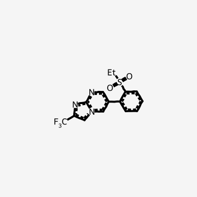 CCS(=O)(=O)c1ccccc1-c1cnc2nc(C(F)(F)F)cn2c1